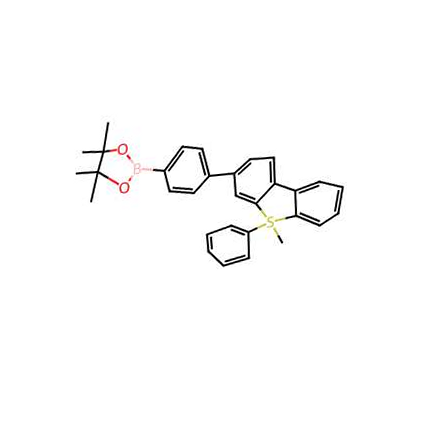 CC1(C)OB(c2ccc(-c3ccc4c(c3)S(C)(c3ccccc3)c3ccccc3-4)cc2)OC1(C)C